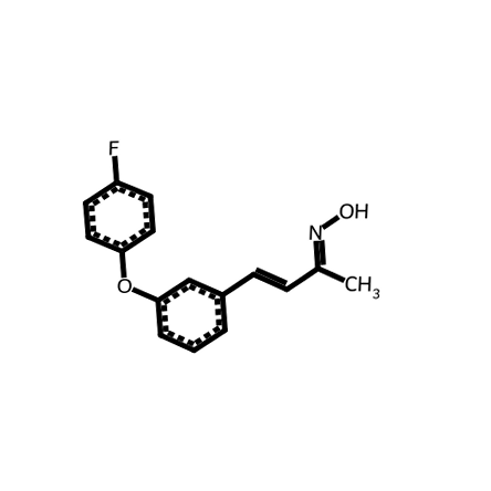 CC(C=Cc1cccc(Oc2ccc(F)cc2)c1)=NO